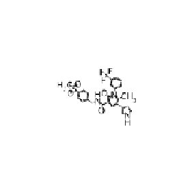 Cc1c(-c2cc[nH]c2)cc(C(=O)NCc2ccc(S(C)(=O)=O)cc2)c(=O)n1-c1cccc(C(F)(F)F)c1